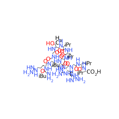 CC[C@H](C)[C@H](N)C(=O)N[C@@H](CCCNC(=N)N)C(=O)N1CCC[C@H]1C(=O)NCC(=O)N[C@H](C(=O)N[C@H](C(=O)N[C@@H](CC(C)C)C(=O)N[C@@H](CCCNC(=N)N)C(=O)N[C@H](C(=O)N[C@@H](CCCNC(=N)N)C(=O)NCC(=O)N[C@@H](CC(C)C)C(=O)N[C@H](C(=O)O)C(C)C)[C@@H](C)CC)C(C)C)[C@@H](C)O